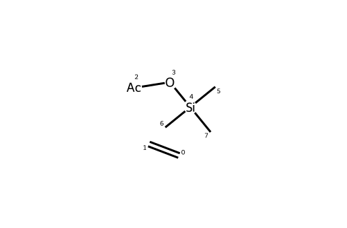 C=C.CC(=O)O[Si](C)(C)C